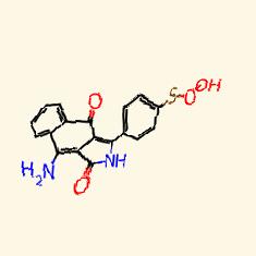 NC1=C2C(=O)NC(c3ccc(SOO)cc3)=C2C(=O)c2ccccc21